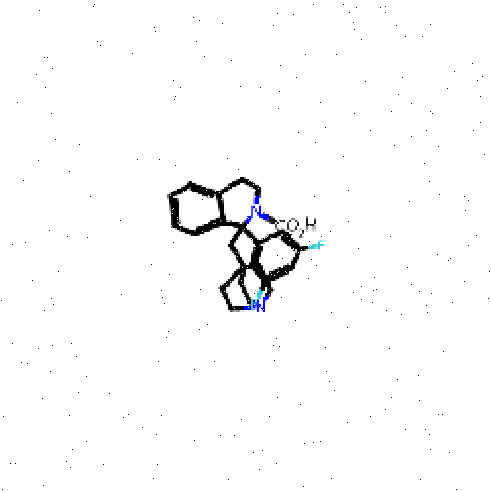 O=C(O)N1CCc2ccccc2C1(CC12CCN(CC1)CC2)c1cc(F)cc(F)c1